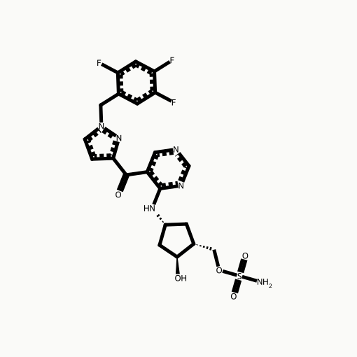 NS(=O)(=O)OC[C@H]1C[C@@H](Nc2ncncc2C(=O)c2ccn(Cc3cc(F)c(F)cc3F)n2)C[C@@H]1O